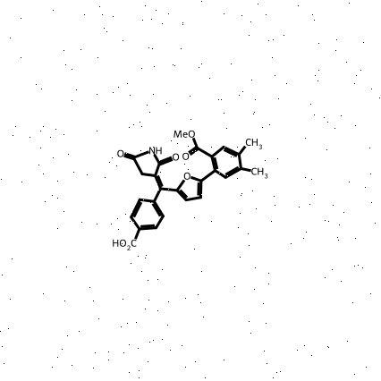 COC(=O)c1cc(C)c(C)cc1-c1ccc(C(=C2CC(=O)NC2=O)c2ccc(C(=O)O)cc2)o1